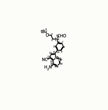 CC(C)(C)OCCN(C=O)c1cccc(-c2cc(C#N)c3c(N)ncnn23)c1